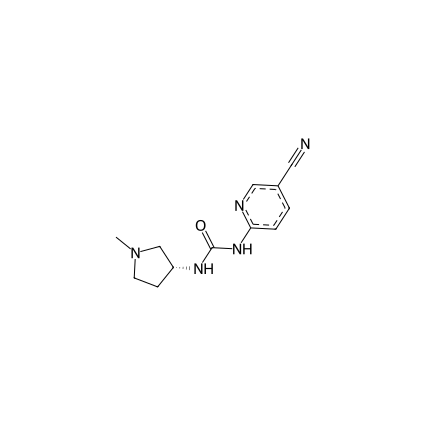 CN1CC[C@@H](NC(=O)Nc2ccc(C#N)cn2)C1